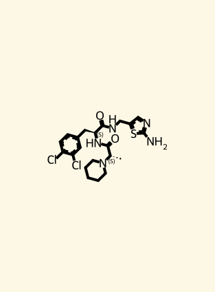 C[C@@H](C(=O)N[C@@H](Cc1ccc(Cl)c(Cl)c1)C(=O)NCc1cnc(N)s1)N1CCCCC1